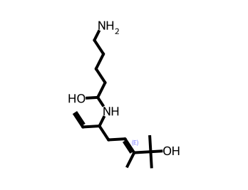 C=CC(C/C=C(\C)C(C)(C)O)NC(O)CCCCN